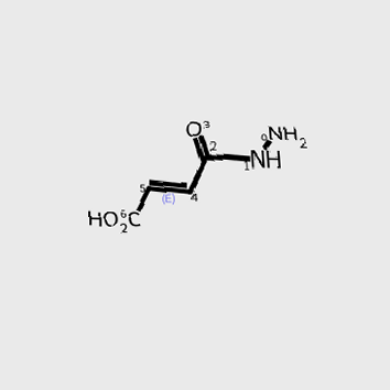 NNC(=O)/C=C/C(=O)O